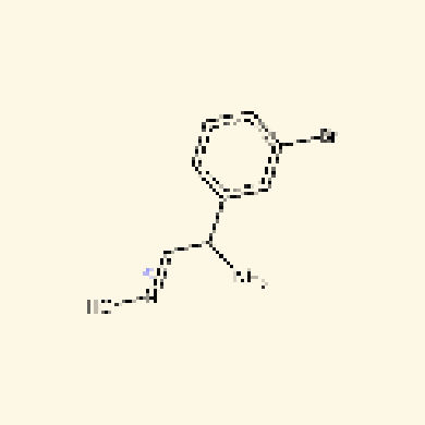 NC(/C=N/O)c1cccc(Br)c1